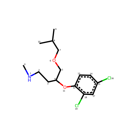 CNCCC(COCC(C)C)Oc1ccc(Cl)cc1Cl